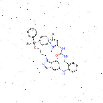 Cn1nc(C(C)(C)C)cc1NC(=O)NCc1ccccc1Nc1ccc2c(cnn2CCCO[Si](c2ccccc2)(c2ccccc2)C(C)(C)C)c1